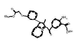 COC(=O)c1cc(C(=O)c2c(C)c(-c3cccc(OCC(=O)OC(C)(C)C)c3)c3ccccn23)ccc1N